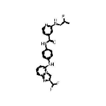 CC(F)CNc1cc(C(=O)Nc2ccc(Nc3cccc4nc(C(F)F)cn34)cc2)ccn1